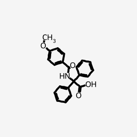 COc1ccc(C(=O)NC(C(=O)O)(c2ccccc2)c2ccccc2)cc1